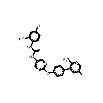 Nc1ncc(Cl)cc1-c1ccc(Oc2ncc(NC(=O)Nc3ccc(Cl)cc3C(F)(F)F)cn2)cc1